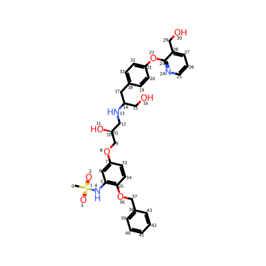 CS(=O)(=O)Nc1cc(OC[C@@H](O)CNC(CO)Cc2ccc(Oc3ncccc3CO)cc2)ccc1OCc1ccccc1